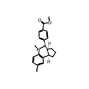 COC(=O)c1ccc([C@H]2[C@H]3CCC[C@H]3c3cc(C)ccc3N2C)cc1